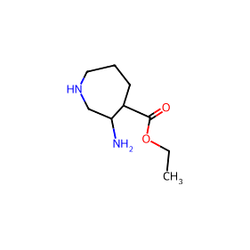 CCOC(=O)C1CCCNCC1N